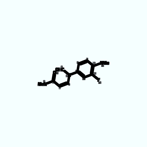 CNC(=O)/C=C\N(C=O)c1ccc(NC)c(F)c1